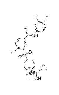 C[C@H]1CC2CC(S(=O)(=O)c3cc(C(=O)Nc4ccc(F)c(F)c4)ccc3Cl)CC1[C@@]2(O)C(O)C1CC1